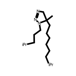 CC(C)CCCCCCC1(C)CN=NN1CCCC(C)C